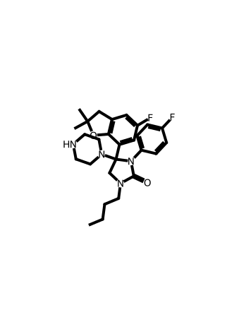 CCCCN1CC(c2cc(F)cc3c2OC(C)(C)C3)(N2CCNCC2)N(c2ccc(F)cc2)C1=O